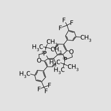 Cc1cc(-c2ccc(-c3ccc(-c4cc(C)cc(C(F)(F)F)c4)c4c3[P@](C(C)(C)C)CO4)c3c2OC[P@@]3C(C)(C)C)cc(C(F)(F)F)c1